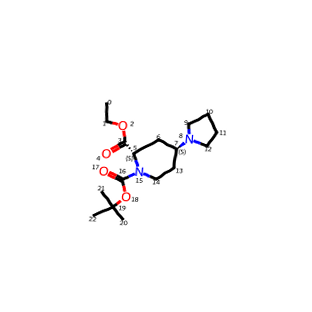 CCOC(=O)[C@@H]1C[C@@H](N2CCCC2)CCN1C(=O)OC(C)(C)C